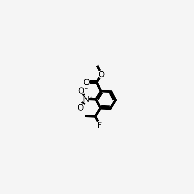 COC(=O)c1cccc(C(C)F)c1[N+](=O)[O-]